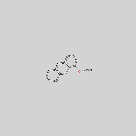 CCCCCOc1cccc2cc3ccccc3cc12